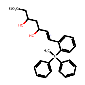 CCOC(=O)CC(O)CC(O)/C=C/c1ccccc1[Si](C)(c1ccccc1)c1ccccc1